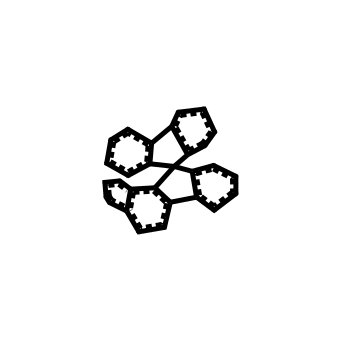 c1ccc2c(c1)-c1ccccc1C21c2ccccc2-c2ccc3ccccc3c21